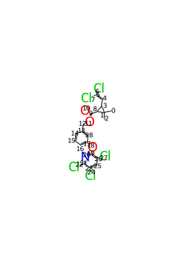 CC1(C)C(C=C(Cl)Cl)C1C(=O)OCc1cccc(Oc2nc(Cl)c(Cl)cc2Cl)c1